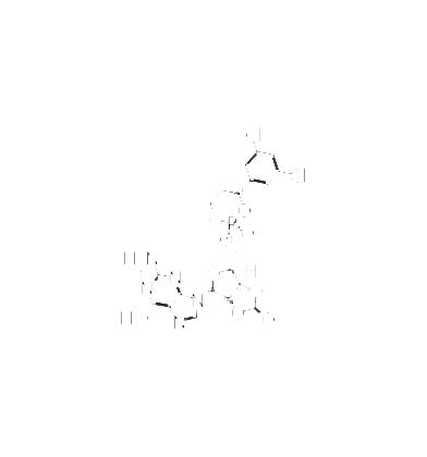 C[C@@]12OC(=O)O[C@@H]1[C@@H](CO[P@@]1(=O)OCC[C@@H](c3cc(Cl)cc(Cl)c3)O1)O[C@H]2n1cnc2c(O)nc(N)nc21